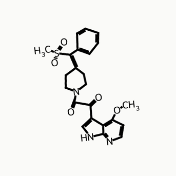 COc1ccnc2[nH]cc(C(=O)C(=O)N3CCC(=C(c4ccccc4)S(C)(=O)=O)CC3)c12